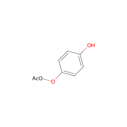 CC(=O)OOc1ccc(O)cc1